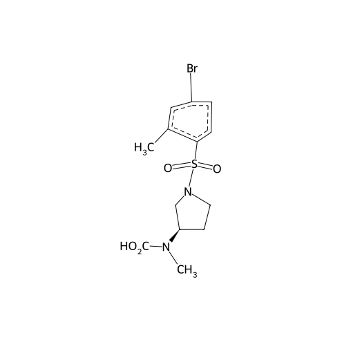 Cc1cc(Br)ccc1S(=O)(=O)N1CC[C@@H](N(C)C(=O)O)C1